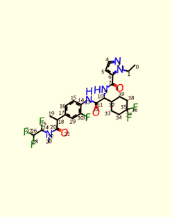 CCn1nccc1C(=O)N[C@H](C(=O)Nc1ccc(C(C)C(=O)N(C)C(F)C(F)F)cc1F)C1CCC(F)(F)CC1